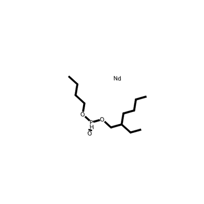 CCCCO[PH](=O)OCC(CC)CCCC.[Nd]